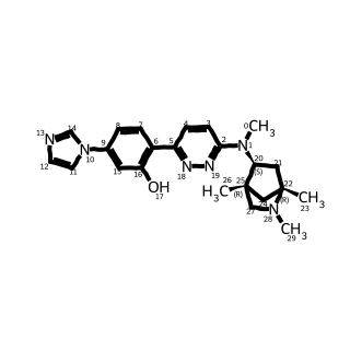 CN(c1ccc(-c2ccc(-n3ccnc3)cc2O)nn1)[C@H]1C[C@@]2(C)C[C@]1(C)CN2C